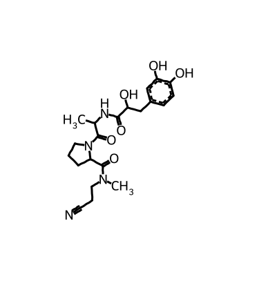 CC(NC(=O)C(O)Cc1ccc(O)c(O)c1)C(=O)N1CCCC1C(=O)N(C)CCC#N